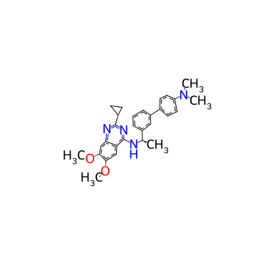 COc1cc2nc(C3CC3)nc(N[C@H](C)c3cccc(-c4ccc(N(C)C)cc4)c3)c2cc1OC